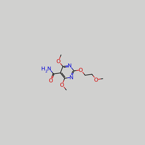 COCCOc1nc(OC)c(C(N)=O)c(OC)n1